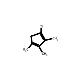 CC1=C(C)C(C)=[C]([Ti])C1